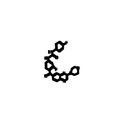 O=C(Nc1ccc(F)cc1)Nc1ccc(C(=O)c2ccc3ncc(N4CCOCC4)nc3c2)c(F)c1